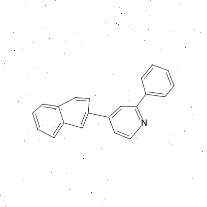 [c]1cc(-c2ccc3ccccc3c2)cc(-c2ccccc2)n1